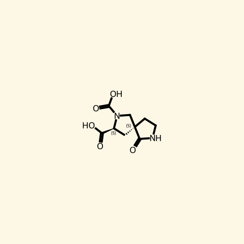 O=C(O)[C@@H]1C[C@@]2(CCNC2=O)CN1C(=O)O